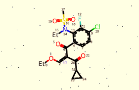 CCO/C=C(\C(=O)c1ccc(Cl)c(F)c1N(CC)S(C)(=O)=O)C(=O)C1CC1